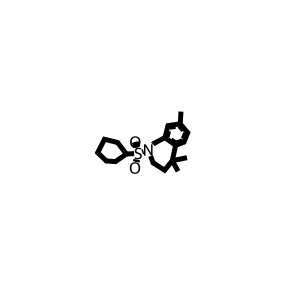 Cc1ccc2c(c1)CN(S(=O)(=O)C1CCCCC1)CCC2(C)C